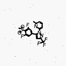 Cc1cccc(-n2nc(C(F)(F)F)cc2-c2cc(F)c(S(C)(=O)=O)c(F)c2)n1